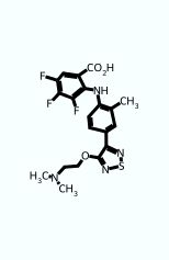 Cc1cc(-c2nsnc2OCCN(C)C)ccc1Nc1c(C(=O)O)cc(F)c(F)c1F